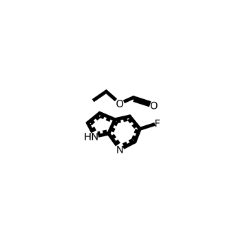 CCOC=O.Fc1cnc2[nH]ccc2c1